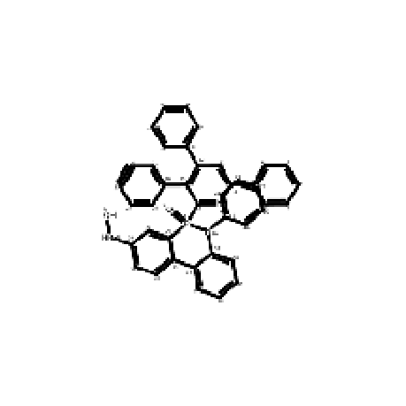 O=P1(c2nc(-c3ccccc3)cc(-c3ccccc3)c2-c2cc#ccc2)c2cc(BO)ccc2-c2ccccc2N1c1ccccc1